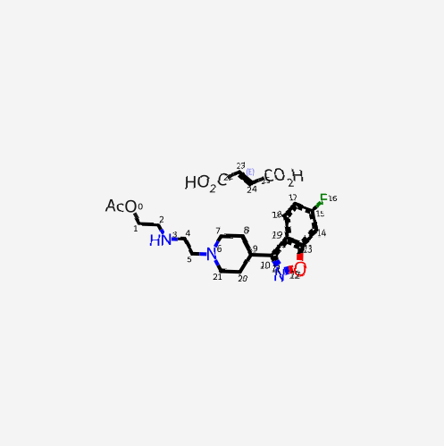 CC(=O)OCCNCCN1CCC(c2noc3cc(F)ccc23)CC1.O=C(O)/C=C/C(=O)O